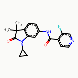 CC1(C)C(=O)N(C2CC2)c2cc(NC(=O)c3ccncc3F)ccc21